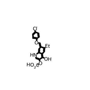 CCc1cc2c(cc1=COc1ccc(Cl)cc1)NC=C(OC(=O)O)C=2O